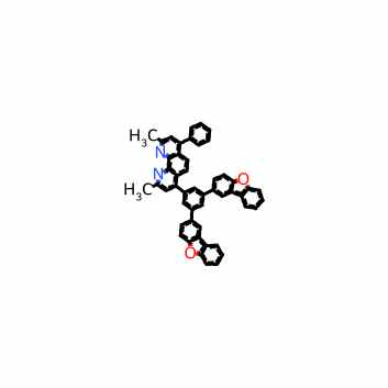 Cc1cc(-c2ccccc2)c2ccc3c(-c4cc(-c5ccc6oc7ccccc7c6c5)cc(-c5ccc6oc7ccccc7c6c5)c4)cc(C)nc3c2n1